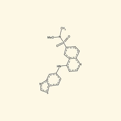 CON(C)S(=O)(=O)c1ccc2nccc(Nc3ccc4scnc4c3)c2c1